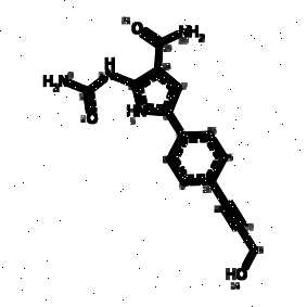 NC(=O)Nc1[nH]c(-c2ccc(C#CCO)cc2)cc1C(N)=O